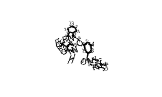 O=C(c1cccc(OCc2c3ccccc3cn2-c2cn[nH]c(=O)c2C(F)(F)F)c1)N1CCn2ncnc2C1